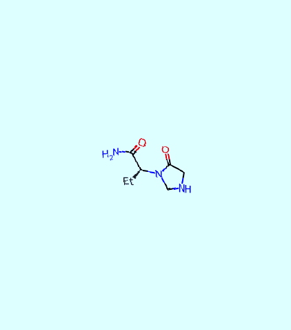 CC[C@@H](C(N)=O)N1CNCC1=O